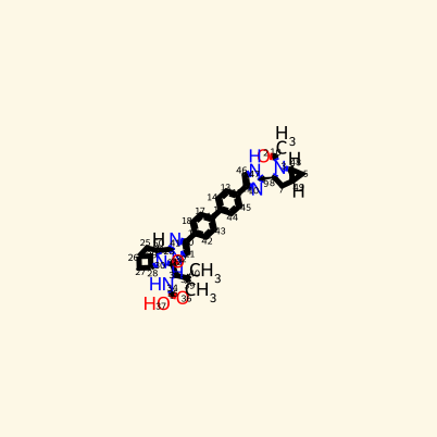 CC(=O)N1[C@@H]2C[C@H]2C[C@H]1c1nc(-c2ccc(-c3ccc(-c4c[nH]c([C@@H]5CC6CC(C6)N5C(=O)[C@@H](NC(=O)O)C(C)C)n4)cc3)cc2)c[nH]1